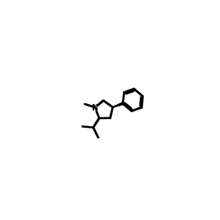 CC(C)C1C[C@H](c2ccccc2)CN1C